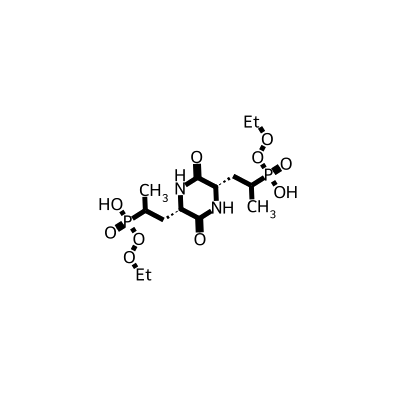 CCOOP(=O)(O)C(C)C[C@@H]1NC(=O)[C@H](CC(C)P(=O)(O)OOCC)NC1=O